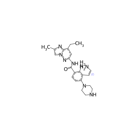 CCc1cc(NC(=O)c2ccc(N3CCNCC3)c(/C=C\N)c2N)nn2cc(C)nc12